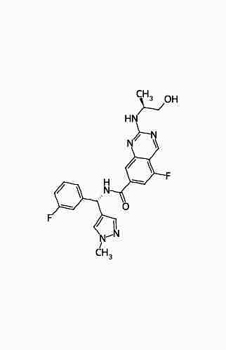 C[C@@H](CO)Nc1ncc2c(F)cc(C(=O)N[C@@H](c3cccc(F)c3)c3cnn(C)c3)cc2n1